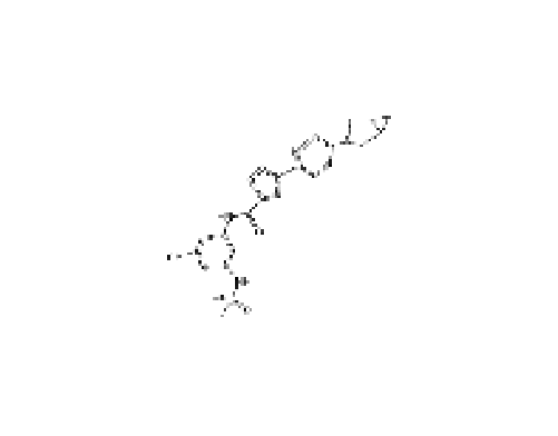 Cc1cc(C(=O)Nc2cc(Cl)cc(NS(C)(=O)=O)c2)cn1-c1ccc(N2CC3CC3C2)cn1